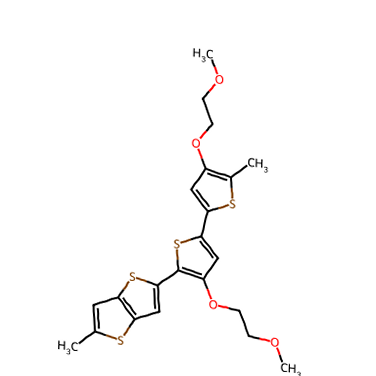 COCCOc1cc(-c2cc(OCCOC)c(-c3cc4sc(C)cc4s3)s2)sc1C